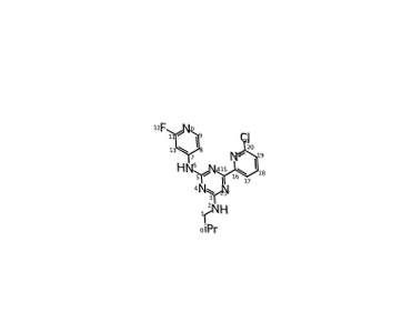 CC(C)CNc1nc(Nc2ccnc(F)c2)nc(-c2cccc(Cl)n2)n1